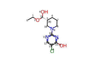 CCOC(O)[C@@H]1CCCN(c2ncc(Cl)c(O)n2)C1